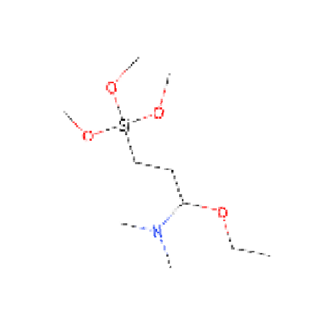 CCOC(CC[Si](OC)(OC)OC)N(C)C